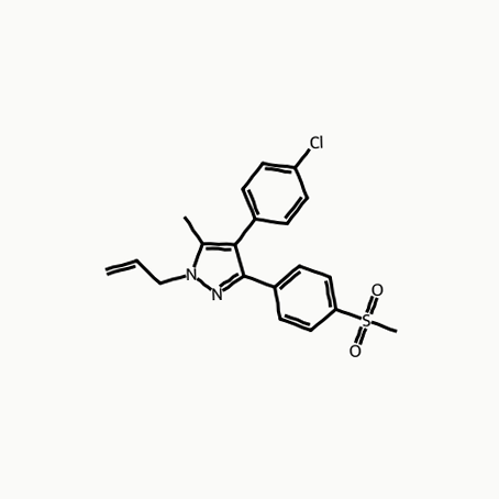 C=CCn1nc(-c2ccc(S(C)(=O)=O)cc2)c(-c2ccc(Cl)cc2)c1C